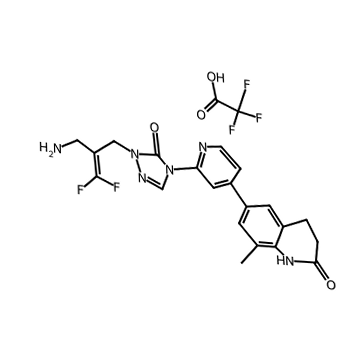 Cc1cc(-c2ccnc(-n3cnn(CC(CN)=C(F)F)c3=O)c2)cc2c1NC(=O)CC2.O=C(O)C(F)(F)F